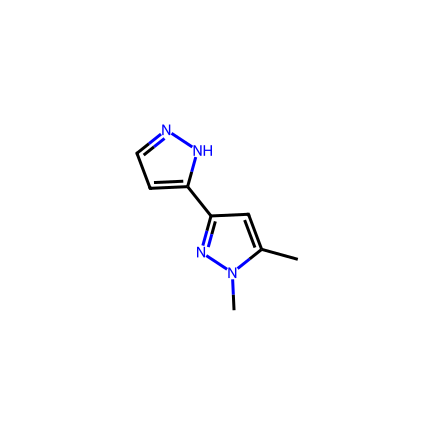 Cc1cc(-c2ccn[nH]2)nn1C